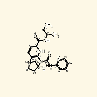 CC[C@@H](C)NC(=O)C1C=CC2=C(N1)N(C(=O)Nc1ccccn1)[C@H]1CCN2C1